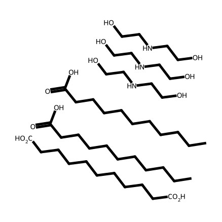 CCCCCCCCCCC(=O)O.CCCCCCCCCCC(=O)O.O=C(O)CCCCCCCCCC(=O)O.OCCNCCO.OCCNCCO.OCCNCCO